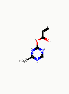 C=CC(=O)Oc1ncnc(C(=O)O)n1